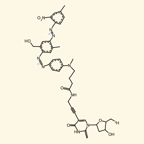 [2H]CC1OC(N2C=C(C#CCNC(=O)CCCN(C)c3ccc(/N=N\c4cc(C)c(/N=N/c5ccc(C)cc5[N+](=O)[O-])cc4CO)cc3)C(=O)NC2=C)CC1O